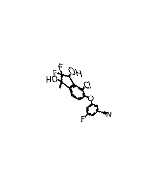 CC1(O)c2ccc(Oc3cc(F)cc(C#N)c3)c(Cl)c2C(O)C1(F)F